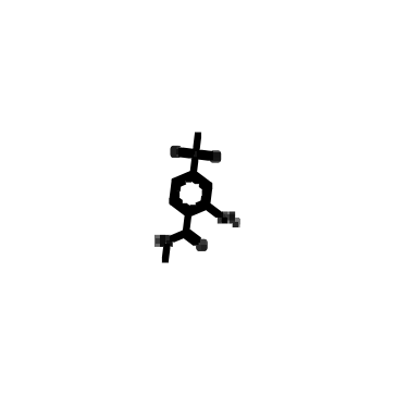 CNC(=O)c1ccc(S(C)(=O)=O)cc1N